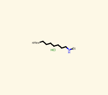 CCCCCCCCCCCCCNCC.Cl